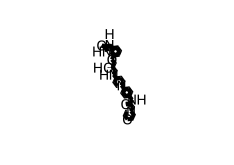 O=C(CN1CCOCC1)Nc1ccc(N2CCC(NC[C@H](O)COc3cccc4[nH]c(=O)[nH]c34)CC2)cc1